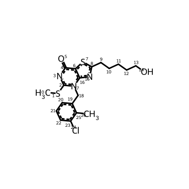 CSc1nc(=O)c2sc(CCCCCO)nc2n1Cc1cccc(Cl)c1C